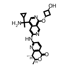 C[C@@H]1OC(=O)c2ccc(Nc3cc4c(C(C)(N)C5CC5)cnc(O[C@H]5C[C@H](O)C5)c4cn3)nc2[C@H]1C